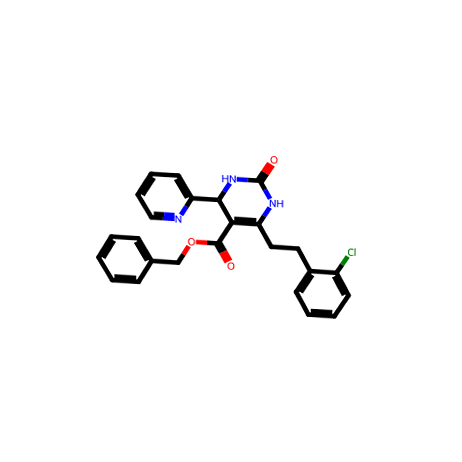 O=C1NC(CCc2ccccc2Cl)=C(C(=O)OCc2ccccc2)C(c2ccccn2)N1